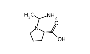 CC(N)N1CCC[C@@H]1C(=O)O